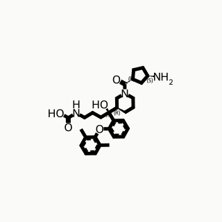 Cc1cccc(C)c1Oc1ccccc1[C@](O)(CCCNC(=O)O)[C@@H]1CCCN(C(=O)[C@@H]2CC[C@H](N)C2)C1